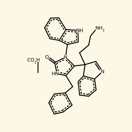 CC(=O)O.NCCCC1(c2c(Cc3ccccc3)[nH]c(=O)n2-c2c[nH]c3ccccc23)C=Nc2ccccc21